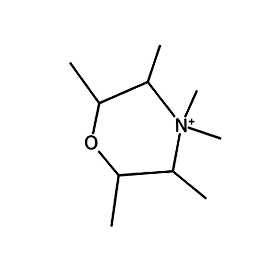 CC1OC(C)C(C)[N+](C)(C)C1C